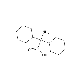 NC(C(=O)O)(C1CCCCC1)C1CCCCC1